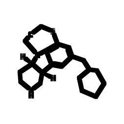 c1c(CC2CCCCC2)cc2c3c1SCCCN3[C@H]1CCNC[C@@H]21